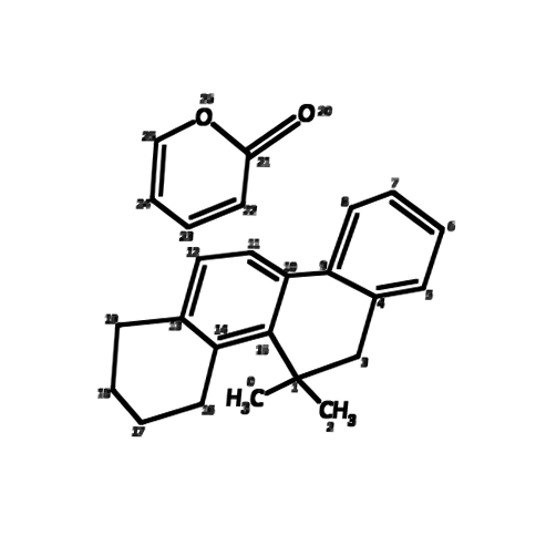 CC1(C)Cc2ccccc2-c2ccc3c(c21)CCCC3.O=c1cccco1